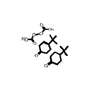 CC(C)(C)C1CCC(=O)CC1.CC(C)(C)C1CCC(=O)CC1.O=C(O)OOC(=O)O